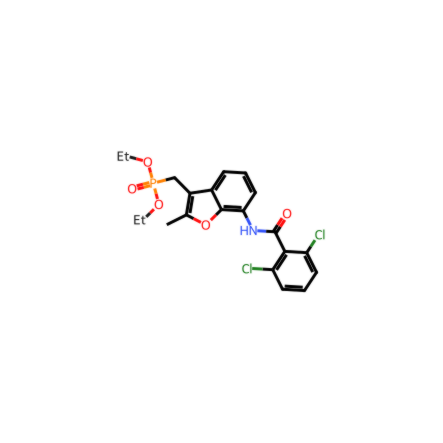 CCOP(=O)(Cc1c(C)oc2c(NC(=O)c3c(Cl)cccc3Cl)cccc12)OCC